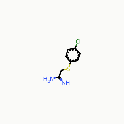 N=C(N)CSc1ccc(Cl)cc1